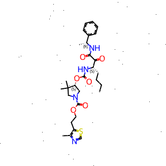 CCCC[C@H](NC(=O)O[C@@H]1CN(C(=O)OCCc2scnc2C)CC1(C)C)C(=O)C(=O)N[C@H](C)c1ccccc1